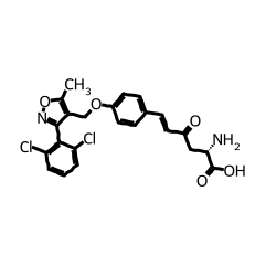 Cc1onc(-c2c(Cl)cccc2Cl)c1COc1ccc(C=CC(=O)C[C@H](N)C(=O)O)cc1